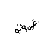 Nc1ncc(C(=O)N2CCC3(CC2)CC(N2CCNC(=O)C2)CO3)cc1OCc1c(Cl)cccc1Cl